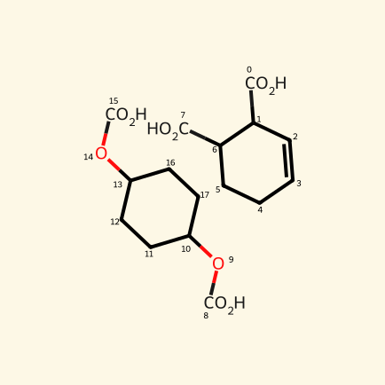 O=C(O)C1C=CCCC1C(=O)O.O=C(O)OC1CCC(OC(=O)O)CC1